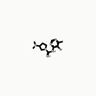 CN(C)C1CCN(C(=N)Nc2ncnc(I)c2Br)C1